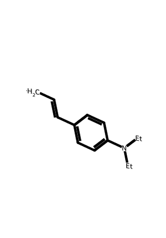 [CH2]/C=C/c1ccc(N(CC)CC)cc1